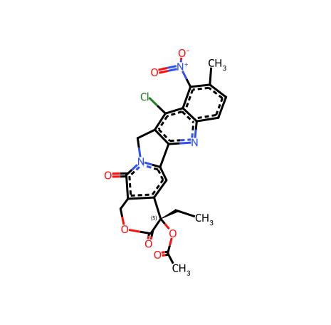 CC[C@@]1(OC(C)=O)C(=O)OCc2c1cc1n(c2=O)Cc2c-1nc1ccc(C)c([N+](=O)[O-])c1c2Cl